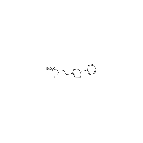 CCOC(=O)C(Cl)CCc1ccc(-c2ccccc2)cc1